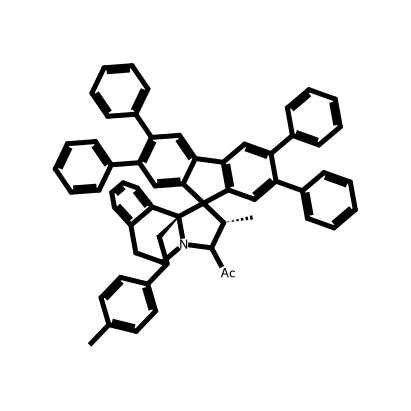 CC(=O)C1[C@@H](C)C2(c3cc(-c4ccccc4)c(-c4ccccc4)cc3-c3cc(-c4ccccc4)c(-c4ccccc4)cc32)[C@@]2(CCc3ccc(C)cc3)c3ccccc3CCN12